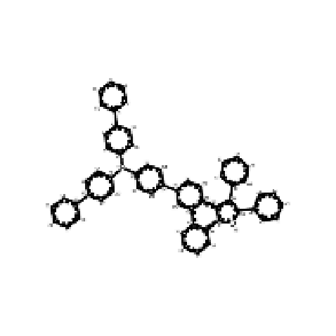 c1ccc(-c2ccc(N(c3ccc(-c4ccccc4)cc3)c3ccc(-c4ccc5c(c4)c4ccccc4c4oc(-c6ccccc6)c(-c6ccccc6)c54)cc3)cc2)cc1